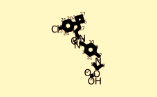 O=C(O)OC1CN(Cc2ccc(-c3noc(CCC4(c5ccc(Cl)cc5)CCC4)n3)cc2)C1